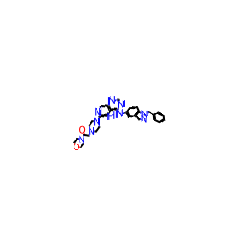 O=C(CN1CCN(c2cc3c(Nc4ccc5c(cnn5Cc5ccccc5)c4)ncnc3cn2)CC1)N1CCOCC1